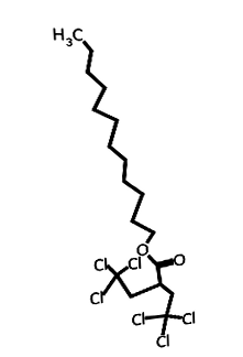 CCCCCCCCCCCCOC(=O)C(CC(Cl)(Cl)Cl)CC(Cl)(Cl)Cl